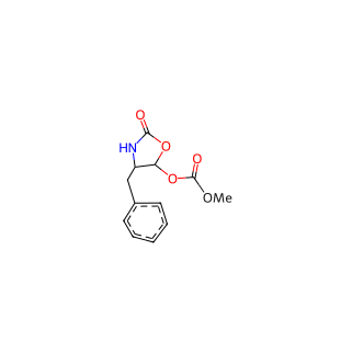 COC(=O)OC1OC(=O)NC1Cc1ccccc1